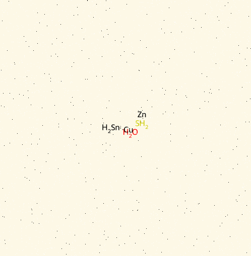 O.S.[Cu].[SnH2].[Zn]